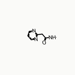 [NH]C(=O)Cc1ncccn1